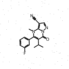 CC(C)c1c(-c2cccc(F)c2)n(C)c2c(C#N)cnn2c1=O